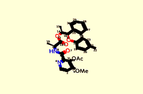 COc1ccnc(C(=O)N[C@@H](C)C(=O)O[C@@H](C)[C@H](Oc2ccc(C)cc2)c2ccccc2)c1OC(C)=O